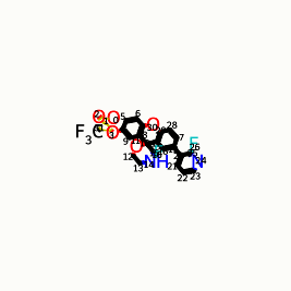 O=S(=O)(Oc1ccc2c(c1)C1(OCCNC1F)c1cc(-c3cccnc3F)ccc1O2)C(F)(F)F